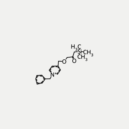 C[Si](C)(C)CC(=O)COCc1cc[n+](Cc2ccccc2)cc1